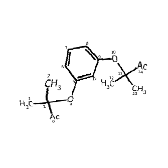 CC(=O)C(C)(C)Oc1cccc(OC(C)(C)C(C)=O)c1